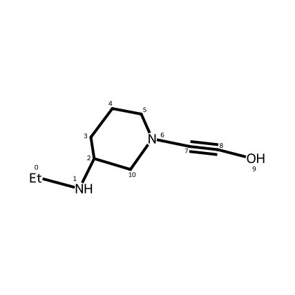 CCNC1CCCN(C#CO)C1